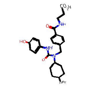 CCCC1CCC(N(Cc2ccc(C(=O)NCCC(=O)O)cc2)C(=O)Nc2ccc(O)cc2)CC1